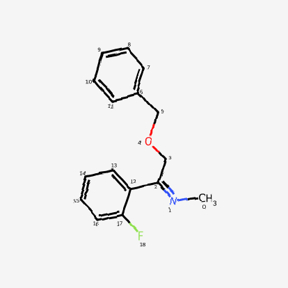 C/N=C(\COCc1ccccc1)c1ccccc1F